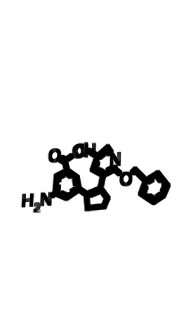 Nc1cc(C(=O)O)cc(C2=C(c3cc(Cl)cnc3OCc3ccccc3)CCC2)c1